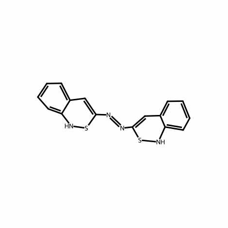 C1=C(N=NC2=Cc3ccccc3NS2)SNc2ccccc21